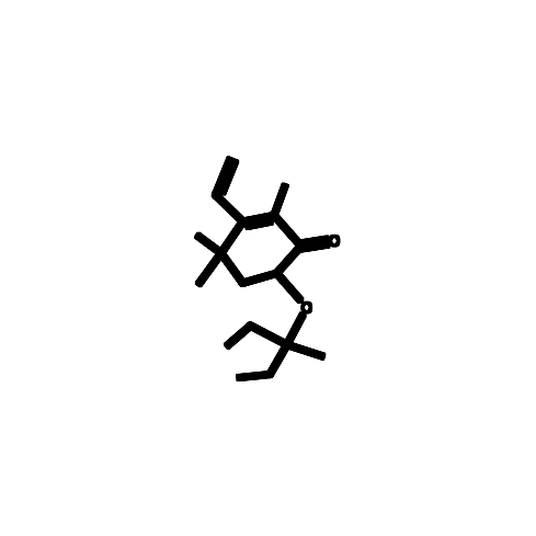 C=CC1=C(C)C(=O)C(OC(C)(CC)CC)CC1(C)C